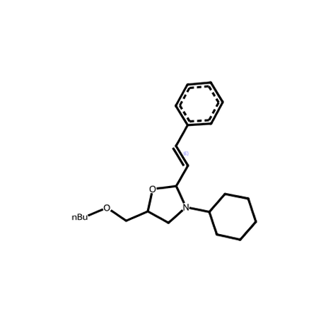 CCCCOCC1CN(C2CCCCC2)C(/C=C/c2ccccc2)O1